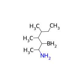 BC(C(C)N)C(C)C(C)CC